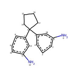 Nc1cccc(C2(c3cccc(N)c3)CCCC2)c1